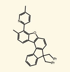 Cc1ccc(-c2c(C)ccc3c2oc2ccc4c(c23)-c2ccccc2C4(CC(C)C)CC(C)C)nc1